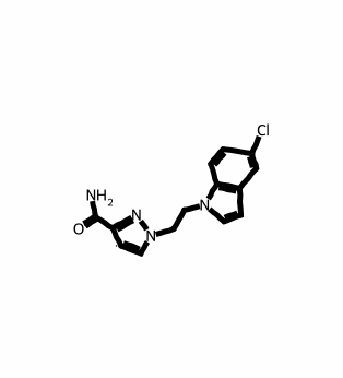 NC(=O)c1[c]cn(CCn2ccc3cc(Cl)ccc32)n1